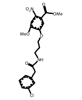 COC(=O)c1cc(OCCCNC(=O)Cc2cccc(Cl)c2)c(OC)cc1[N+](=O)[O-]